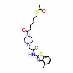 CC(=O)SCCCCCC(=O)N1CCN(CC(=O)Nc2nc3c(C)cccc3s2)CC1